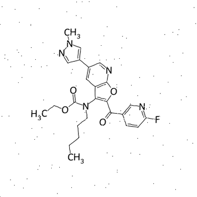 CCCCCN(C(=O)OCC)c1c(C(=O)c2ccc(F)nc2)oc2ncc(-c3cnn(C)c3)cc12